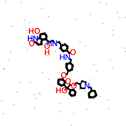 O=C(NCc1ccc(COc2cccc(C(O)(C(=O)OCC3CCN(Cc4ccccc4)CC3)c3ccccc3)c2)cc1)c1ccc(CNC[C@H](O)c2ccc(O)c3[nH]c(=O)ccc23)cc1